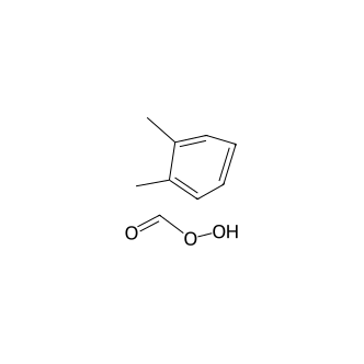 Cc1ccccc1C.O=COO